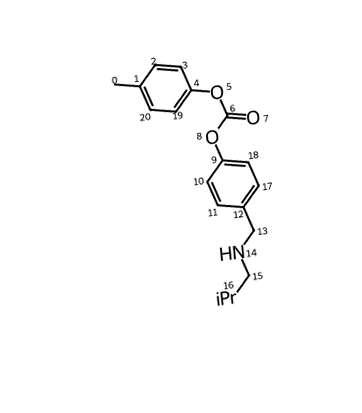 Cc1ccc(OC(=O)Oc2ccc(CNCC(C)C)cc2)cc1